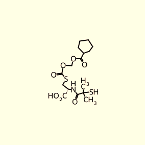 CC(C)(S)C(=O)N[C@@H](CSC(=O)OCOC(=O)C1CCCCC1)C(=O)O